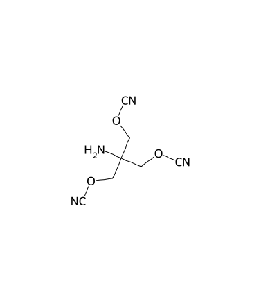 N#COCC(N)(COC#N)COC#N